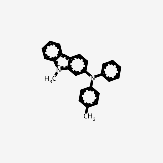 Cc1ccc(N(c2ccccc2)c2ccc3c4ccccc4n(C)c3c2)cc1